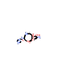 CO[C@]1(C)C[C@@H](C)CN(C)CCC(N(C)C(=O)CN2CCN(C)CC2)CCCOC(=O)C(C)(C)C(=O)[C@H](C)[C@H]1O[C@@H]1O[C@H](C)C[C@H](N(C)C)[C@H]1O